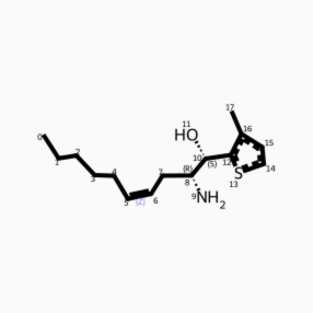 CCCCC/C=C\C[C@@H](N)[C@H](O)c1sccc1C